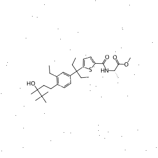 CCc1cc(C(CC)(CC)c2ccc(C(=O)N[C@@H](C)C(=O)OC)s2)ccc1CCC(C)(O)C(C)(C)C